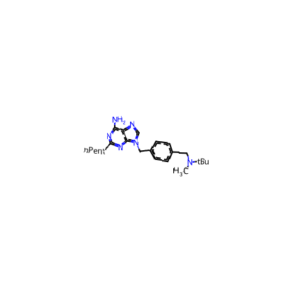 CCCCCc1nc(N)c2ncn(Cc3ccc(CN(C)C(C)(C)C)cc3)c2n1